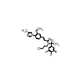 COc1cc(/C=C/C2=NOC(C)(c3cc(F)c(F)c(F)c3)N2CCCCl)ccc1-n1cnc(C)c1